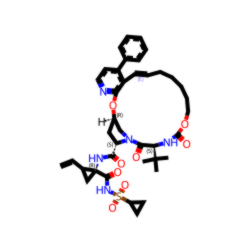 C=CC1C[C@]1(NC(=O)[C@@H]1C[C@@H]2CN1C(=O)[C@H](C(C)(C)C)NC(=O)OCCCCC/C=C/c1c(-c3ccccc3)ccnc1O2)C(=O)NS(=O)(=O)C1CC1